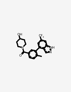 Cc1ccc(C(=O)N2CCC(O)CC2)cc1-c1cc(C(F)(F)F)cc2[nH]ncc12